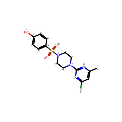 Cc1cc(Cl)nc(N2CCN(S(=O)(=O)c3ccc(O)cc3)CC2)n1